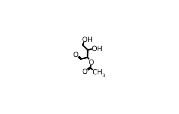 CC(=O)OC(C=O)C(O)CO